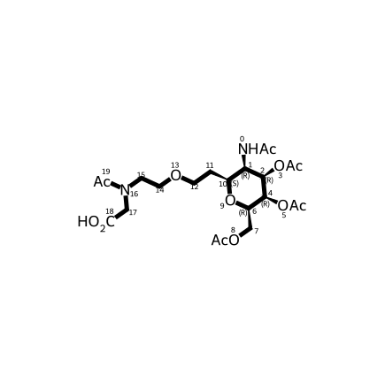 CC(=O)N[C@H]1[C@@H](OC(C)=O)[C@@H](OC(C)=O)[C@@H](COC(C)=O)O[C@H]1CCOCCN(CC(=O)O)C(C)=O